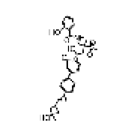 CC1(O)CC(COc2ccc(-c3ccn(C(O)CC(C)(CNC(=O)c4ccccc4O)S(C)(=O)=O)c(=O)c3)cc2)C1